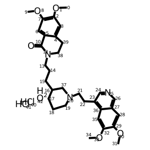 COc1cc2c(cc1OC)C(=O)N(CCCC1CCCN(CCc3cncc4cc(OC)c(OC)cc34)C1)CC2.Cl.Cl.O